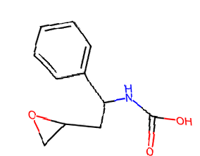 O=C(O)NC(CC1CO1)c1ccccc1